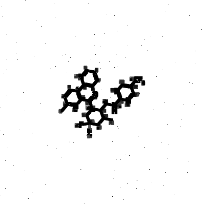 Cc1ccc(-c2ccccn2)c(C(=O)N2CC(F)(F)CC(C)C2CNc2ncc(C(F)(F)F)cn2)n1